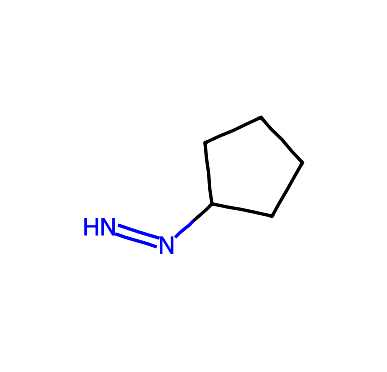 N=NC1CCCC1